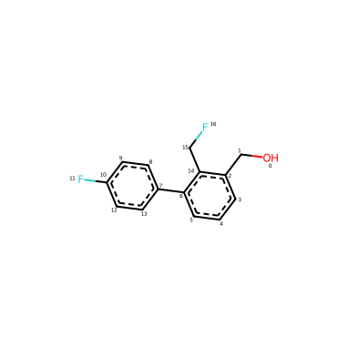 OCc1cccc(-c2ccc(F)cc2)c1CF